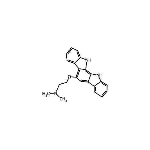 CN(C)CCOc1cc2c3ccccc3[nH]c2c2[nH]c3ccccc3c12